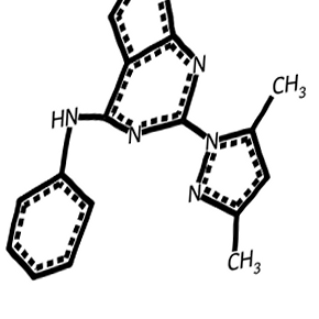 Cc1cc(C)n(-c2nc(Nc3ccccc3)c3ccsc3n2)n1